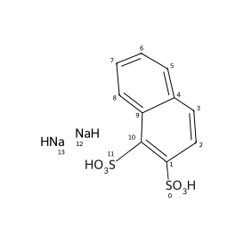 O=S(=O)(O)c1ccc2ccccc2c1S(=O)(=O)O.[NaH].[NaH]